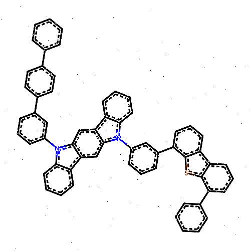 c1ccc(-c2ccc(-c3cccc(-n4c5ccccc5c5cc6c(cc54)c4ccccc4n6-c4cccc(-c5cccc6c5sc5c(-c7ccccc7)cccc56)c4)c3)cc2)cc1